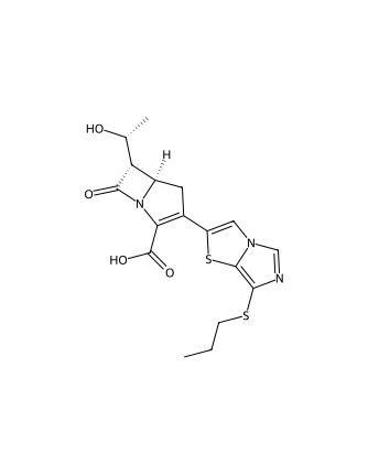 CCCSc1ncn2cc(C3=C(C(=O)O)N4C(=O)[C@H]([C@@H](C)O)[C@H]4C3)sc12